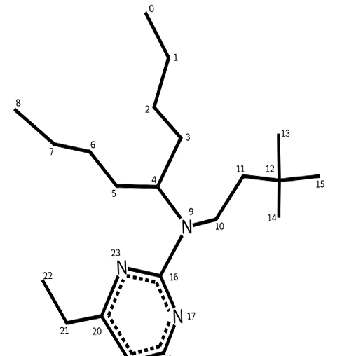 CCCCC(CCCC)N(CCC(C)(C)C)c1nccc(CC)n1